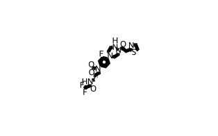 O=C(NC[C@H]1CN(c2ccc(N3CCNN(C(=O)CC4=NCCS4)CC3)c(F)c2)C(=O)O1)C(F)F